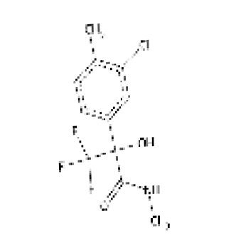 CNC(=O)C(O)(c1ccc(C)c(Cl)c1)C(F)(F)F